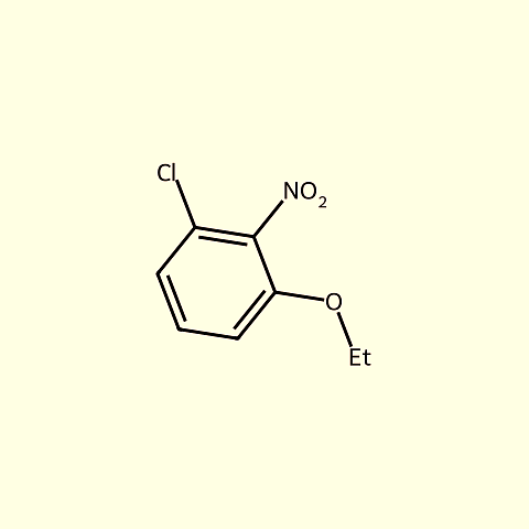 CCOc1cccc(Cl)c1[N+](=O)[O-]